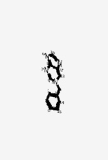 c1ccc(Cn2cnc3ncnc-3c2)cc1